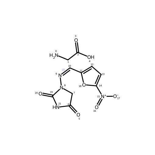 NCC(=O)O.O=C1CN(/N=C\c2ccc([N+](=O)[O-])o2)C(=O)N1